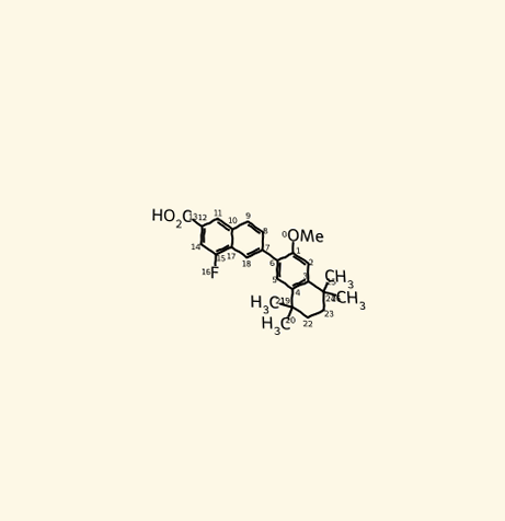 COc1cc2c(cc1-c1ccc3cc(C(=O)O)cc(F)c3c1)C(C)(C)CCC2(C)C